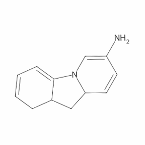 NC1=CN2C3=CC=CCC3CC2C=C1